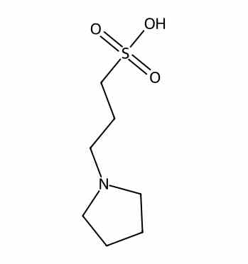 O=S(=O)(O)CCCN1CCCC1